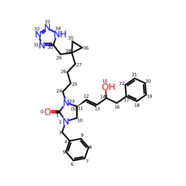 O=C1N(Cc2ccccc2)C[C@H](C=CC(O)Cc2ccccc2)N1CCCCC1(Cc2nnn[nH]2)CC1